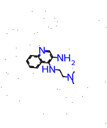 CN(C)CCNc1c(N)cnc2ccccc12